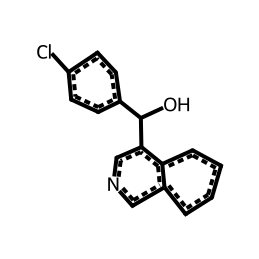 OC(c1ccc(Cl)cc1)c1cncc2ccccc12